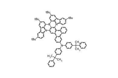 CC(C)(C)c1ccc2c(c1)c1cc(C(C)(C)C)cc3c1n2-c1cc2c4ccc(N(c5ccc(C(C)(C)c6ccccc6)cc5)c5ccc(C(C)(C)c6ccccc6)cc5)cc4c4ccccc4c2c2c1B3c1cc(C(C)(C)C)cc3c4cc(C(C)(C)C)ccc4n-2c13